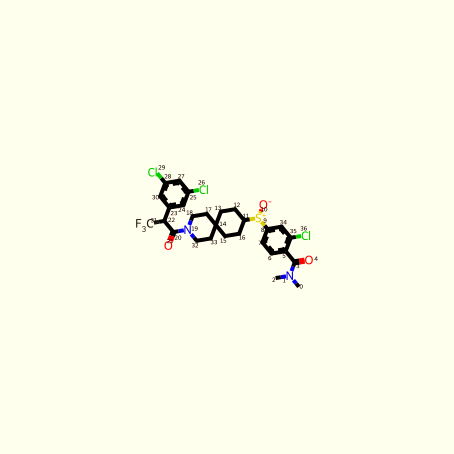 CN(C)C(=O)c1ccc([S+]([O-])C2CCC3(CC2)CCN(C(=O)C(c2cc(Cl)cc(Cl)c2)C(F)(F)F)CC3)cc1Cl